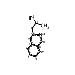 CC(C)C(C)Cc1cc2ccccc2cn1